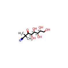 [CH2]C(C)(C#N)C(=O)[C@H](O)[C@@H](O)[C@H](O)[C@H](O)CO